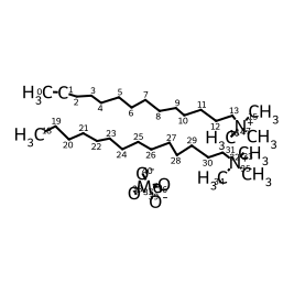 CCCCCCCCCCCCCC[N+](C)(C)C.CCCCCCCCCCCCCC[N+](C)(C)C.[O]=[Mo](=[O])([O-])[O-]